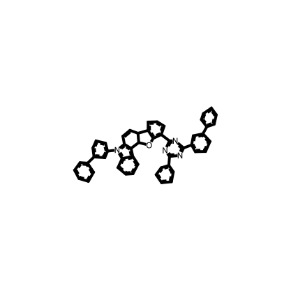 C1=CC2c3cccc(-c4nc(-c5ccccc5)nc(-c5cccc(-c6ccccc6)c5)n4)c3OC2c2c1n(-c1cccc(-c3ccccc3)c1)c1ccccc21